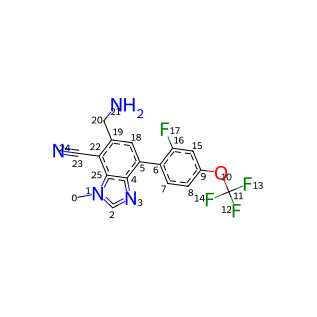 Cn1cnc2c(-c3ccc(OC(F)(F)F)cc3F)cc(CN)c(C#N)c21